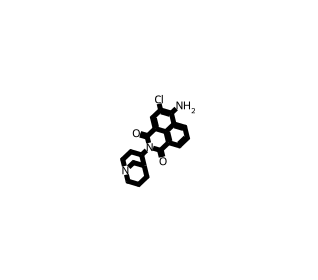 Nc1c(Cl)cc2c3c(cccc13)C(=O)N(C1CCN3CCCC1C3)C2=O